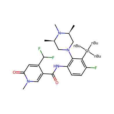 CCC[CH2][Sn]([CH2]CCC)([CH2]CCC)[c]1c(F)ccc(NC(=O)c2cn(C)c(=O)cc2C(F)F)c1N1C[C@@H](C)N(C)[C@@H](C)C1